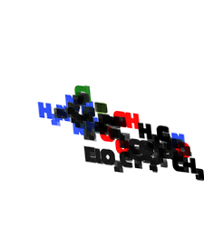 CCOC(=O)C(Cc1ccc(-c2c(C)noc2C)cc1)(OC[C@H]1O[C@@H](n2cnc3c(N)nc(Cl)nc32)[C@@H](F)[C@@H]1O)C(=O)OCC